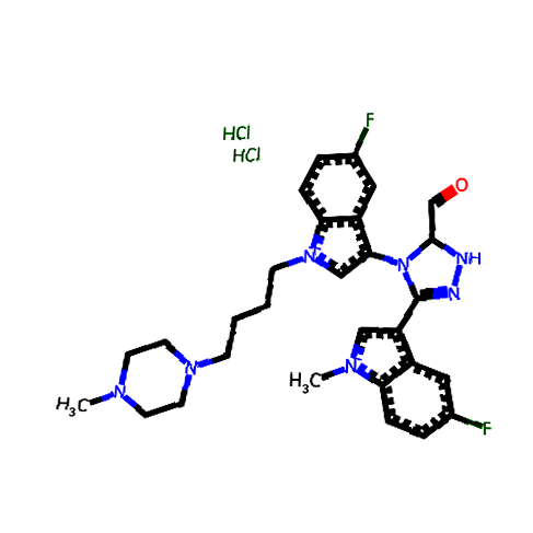 CN1CCN(CCCCn2cc(N3C(c4cn(C)c5ccc(F)cc45)=NNC3C=O)c3cc(F)ccc32)CC1.Cl.Cl